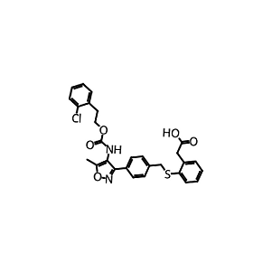 Cc1onc(-c2ccc(CSc3ccccc3CC(=O)O)cc2)c1NC(=O)OCCc1ccccc1Cl